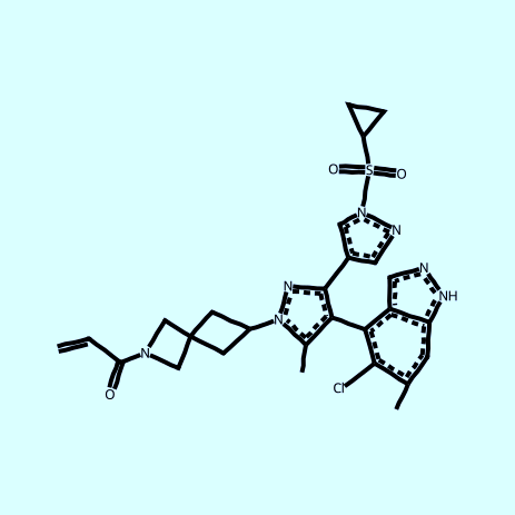 C=CC(=O)N1CC2(CC(n3nc(-c4cnn(S(=O)(=O)C5CC5)c4)c(-c4c(Cl)c(C)cc5[nH]ncc45)c3C)C2)C1